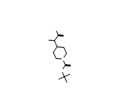 CC(C)(C)OC(=O)N1CCC(C(N)C(=O)O)CC1